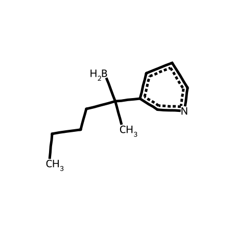 BC(C)(CCCC)c1cccnc1